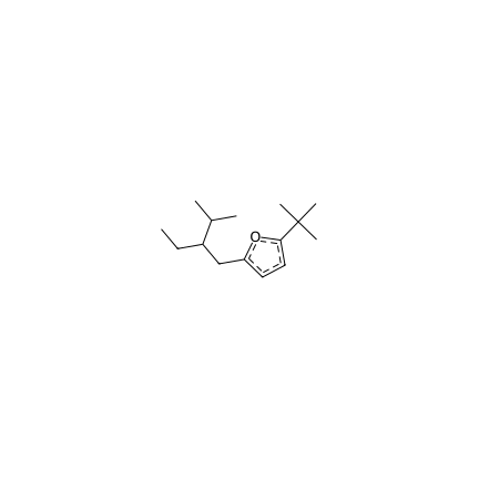 CCC(Cc1ccc(C(C)(C)C)o1)C(C)C